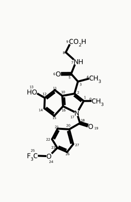 Cc1c(C(C)C(=O)NCC(=O)O)c2cc(O)ccc2n1C(=O)c1ccc(OC(F)(F)F)cc1